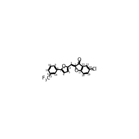 O=C1C(=Cc2ccc(-c3cccc(C(F)(F)F)c3)o2)Oc2ccc(Cl)cc21